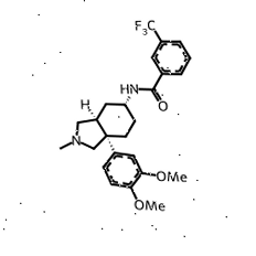 COc1ccc([C@@]23CC[C@@H](NC(=O)c4cccc(C(F)(F)F)c4)C[C@@H]2CN(C)C3)cc1OC